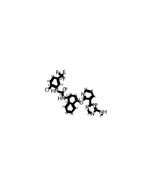 CNc1ncnc(-c2cccnc2Oc2ccc(NC(=O)Nc3cc(C(F)(F)F)ccc3Cl)c3ccccc23)n1